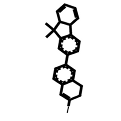 CC1(C)c2cc(-c3ccc4c(c3)CCC(I)=C4)ccc2C2C=CC=CC21